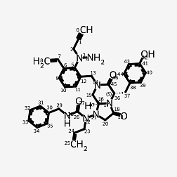 C#CCN(N)c1c(C=C)cccc1CN1C[C@H]2N(C(=O)CN2N(CC=C)C(=O)NCc2ccccc2)[C@@H](Cc2ccc(O)cc2)C1=O